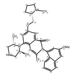 COc1cc(-n2c(C(F)(F)F)nc3c(N4[C@@H](C)CNC[C@@H]4C)nc(OC[C@@H]4CCCN4C)nc3c2=O)c2ccccc2c1